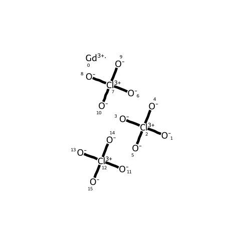 [Gd+3].[O-][Cl+3]([O-])([O-])[O-].[O-][Cl+3]([O-])([O-])[O-].[O-][Cl+3]([O-])([O-])[O-]